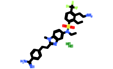 CCc1c(S(=O)(=O)N(CC)c2ccc3c(c2)nc(CCc2ccc(C(=N)N)cc2)n3C)ccc(C(F)(F)F)c1CCN.Cl.Cl